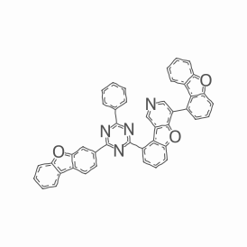 c1ccc(-c2nc(-c3ccc4c(c3)oc3ccccc34)nc(-c3cccc4oc5c(-c6cccc7oc8ccccc8c67)cncc5c34)n2)cc1